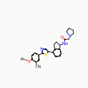 CC(C)Oc1ccc(-c2ncc(-c3cccc4c3CCC4NC(=O)CN3CCCC3)s2)cc1C#N